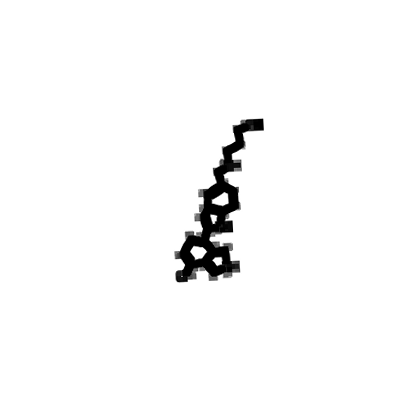 OCCCNCc1ccc2[nH]c(-c3ccc(Cl)c4c[nH]cc34)cc2c1